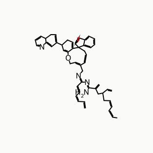 C=C\C=C/C=C/C(=N/CC1=C\COC2=CC(C3=CCC4C=CC=NC4=C3)CC=C2C2(C/C=C\1)c1ccccc1-c1ccccc12)/N=C(\N)C(=C)CC(C=C)C/C=C\C=C/C